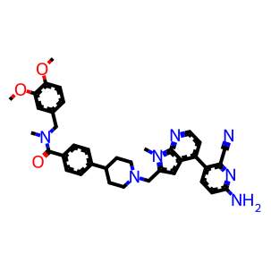 COc1ccc(CN(C)C(=O)c2ccc(C3CCN(Cc4cc5c(-c6ccc(N)nc6C#N)ccnc5n4C)CC3)cc2)cc1OC